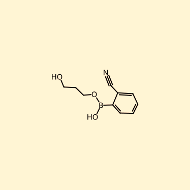 N#Cc1ccccc1B(O)OCCCO